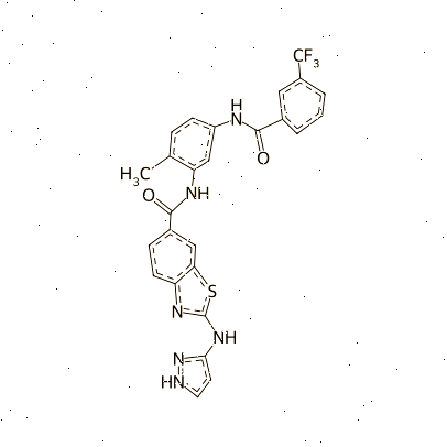 Cc1ccc(NC(=O)c2cccc(C(F)(F)F)c2)cc1NC(=O)c1ccc2nc(Nc3cc[nH]n3)sc2c1